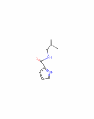 CC(C)CNC(=O)c1ccc[nH]1